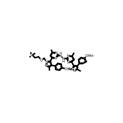 COc1ccc(-c2c(C)n[nH]c2-c2cc(C)nc(NNc3nc(C)cc(-c4c(-c5ccc(OC)cc5)c(C)nn4COCC[Si](C)(C)C)n3)n2)cc1